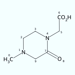 CN1CCN(CC(=O)O)C(=O)C1